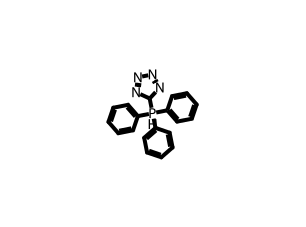 c1ccc([PH](c2ccccc2)(c2ccccc2)C2N=NN=N2)cc1